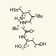 CC[C@H](C)[C@@H](CN[C@H](C(=O)N[C@@H](CCO)C(=O)O)[C@@H](C)CC)C[C@@H](N)CS